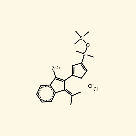 CC(C)=C1C(C2=CC([Si](C)(C)O[Si](C)(C)C)=CC2)=[C]([Zr+2])c2ccccc21.[Cl-].[Cl-]